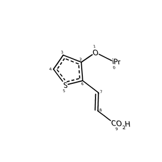 CC(C)Oc1ccsc1/C=C/C(=O)O